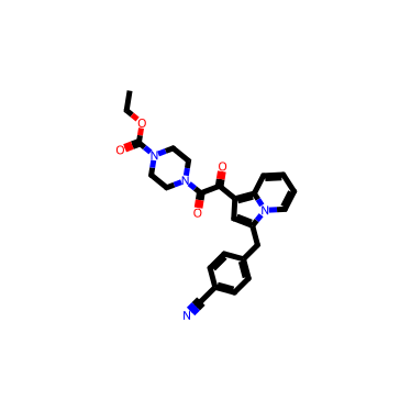 CCOC(=O)N1CCN(C(=O)C(=O)c2cc(Cc3ccc(C#N)cc3)n3ccccc23)CC1